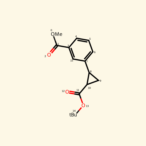 COC(=O)c1cccc(C2CC2C(=O)OC(C)(C)C)c1